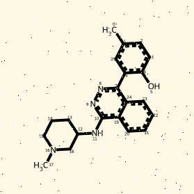 Cc1ccc(O)c(-c2nnc(NC3CCCN(C)C3)c3ccccc23)c1